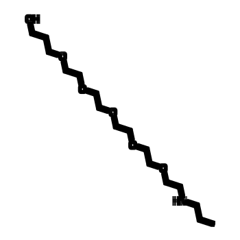 CCCNCCOCCOCCOCCOCCOCCCO